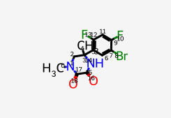 CN1CC(C)(c2cc(Br)c(F)cc2F)NC(=O)C1=O